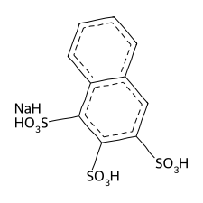 O=S(=O)(O)c1cc2ccccc2c(S(=O)(=O)O)c1S(=O)(=O)O.[NaH]